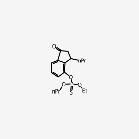 CCCOP(=S)(OCC)Oc1cccc2c1C(CCC)CC2=O